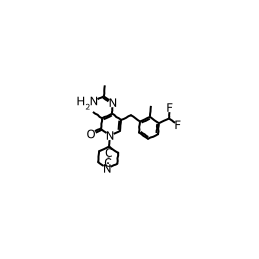 C/C(N)=N/c1c(Cc2cccc(C(F)F)c2C)cn(C23CCN(CC2)CC3)c(=O)c1C